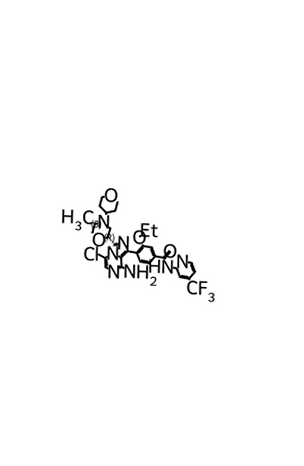 CCOc1cc(C(=O)Nc2cc(C(F)(F)F)ccn2)ccc1-c1nc([C@H]2CN(C3CCOCC3)[C@@H](C)CO2)n2c(Cl)cnc(N)c12